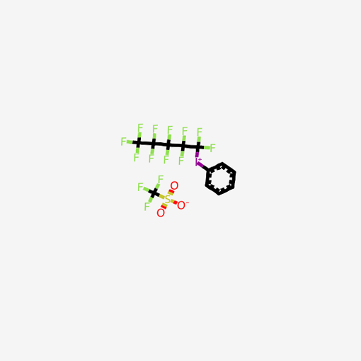 FC(F)(F)C(F)(F)C(F)(F)C(F)(F)C(F)(F)[I+]c1ccccc1.O=S(=O)([O-])C(F)(F)F